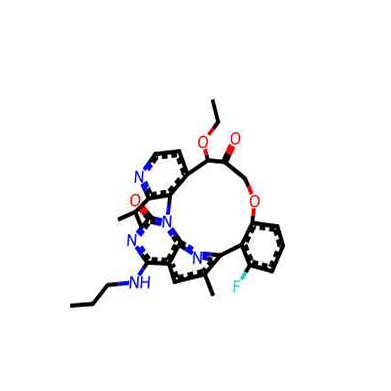 CCCNc1nc(=O)n2c3nc(c(C)cc13)-c1c(F)cccc1OCC(=O)C(OCC)c1ccnc(C(C)C)c1-2